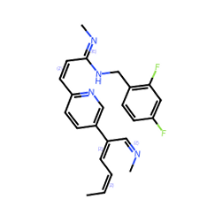 C\C=C/C=C(\C=N/C)c1ccc(/C=C\C(=N/C)NCc2ccc(F)cc2F)nc1